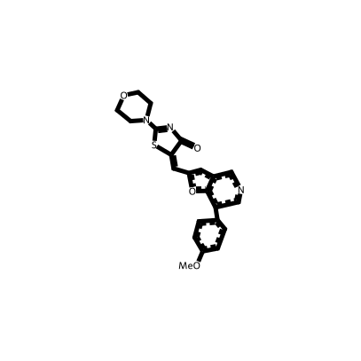 COc1ccc(-c2cncc3cc(C=C4SC(N5CCOCC5)=NC4=O)oc23)cc1